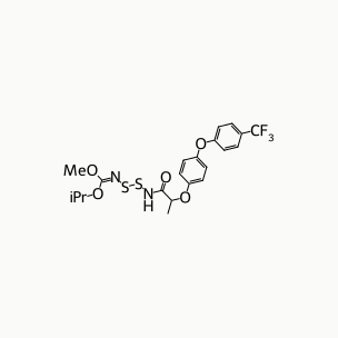 COC(=NSSNC(=O)C(C)Oc1ccc(Oc2ccc(C(F)(F)F)cc2)cc1)OC(C)C